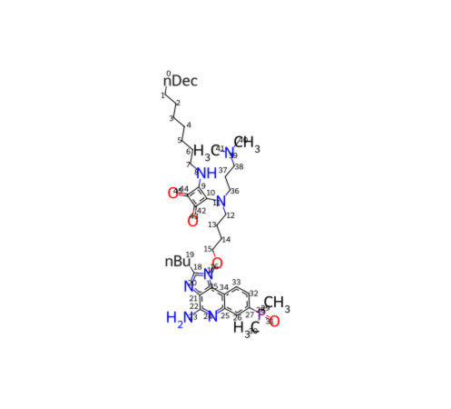 CCCCCCCCCCCCCCCCCNc1c(N(CCCCOn2c(CCCC)nc3c(N)nc4cc(P(C)(C)=O)ccc4c32)CCCN(C)C)c(=O)c1=O